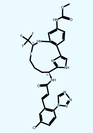 COC(=O)Nc1ccc2c(c1)N[C@H](C(F)(F)F)CCCC[C@H](NC(=O)C=Cc1cc(Cl)ccc1-n1cnnn1)c1nc-2c[nH]1